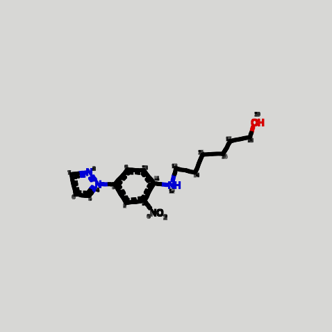 O=[N+]([O-])c1cc(-n2cccn2)ccc1NCCCCCCO